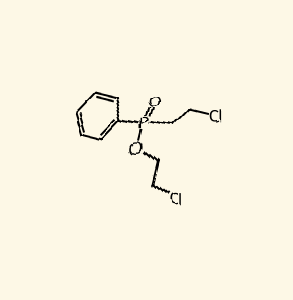 O=P(CCCl)(OCCCl)c1ccccc1